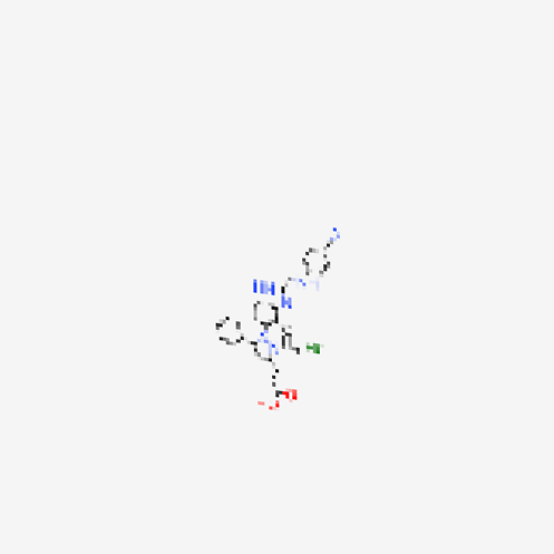 Cc1c(-n2nc(CCC(=O)O)cc2-c2ccccc2)ccc2[nH]c(CNc3ccc(C#N)cc3)nc12.Cl